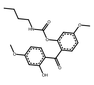 CCCCNC(=O)Oc1cc(OC)ccc1C(=O)c1ccc(OC)cc1O